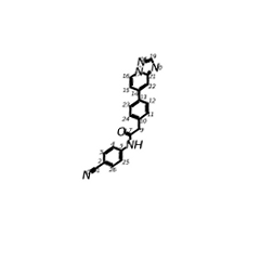 N#Cc1ccc(NC(=O)Cc2ccc(-c3ccn4ncnc4c3)cc2)cc1